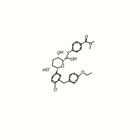 CCOc1ccc(Cc2cc([C@@H]3O[C@H](C(O)Sc4ccc(C(=O)N(C)C)cc4)[C@@H](O)C[C@H]3O)ccc2Cl)cc1